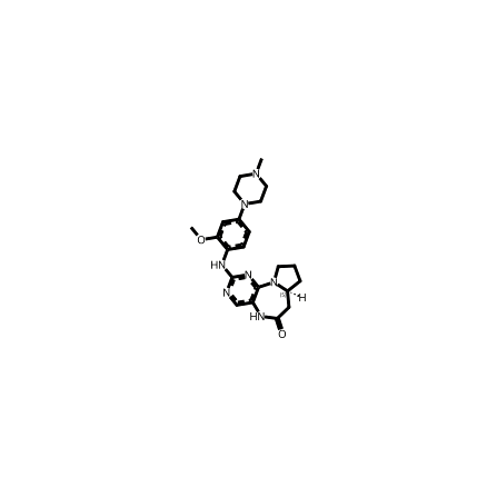 COc1cc(N2CCN(C)CC2)ccc1Nc1ncc2c(n1)N1CCC[C@H]1CC(=O)N2